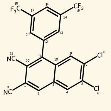 N#Cc1cc2cc(Cl)c(Cl)cc2c(-c2cc(C(F)(F)F)cc(C(F)(F)F)c2)c1C#N